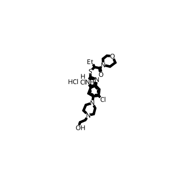 CCC(Sc1nc2cc(Cl)c(N3CCN(CCO)CC3)cc2[nH]1)C(=O)N1CCOCC1.Cl.Cl